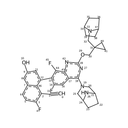 C#Cc1c(F)ccc2cc(O)cc(-c3c(F)cc4c(N5CC6CCC(C5)N6)nc(OCC5(CN6C7CCC6CC7)CC5)nc4c3F)c12